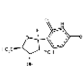 O=C(O)[C@H]1O[C@@](F)(n2ccc(=O)[nH]c2=O)[C@H](O)[C@@H]1O